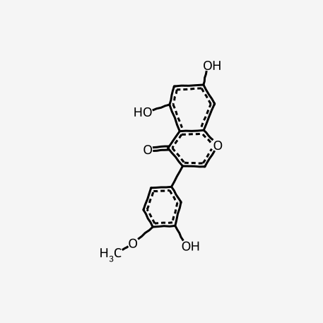 COc1ccc(-c2coc3cc(O)cc(O)c3c2=O)cc1O